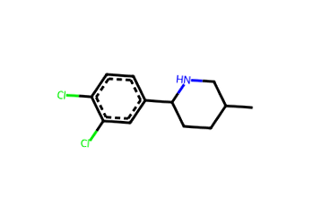 CC1CCC(c2ccc(Cl)c(Cl)c2)NC1